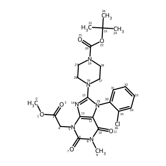 COC(=O)Cn1c(=O)n(C)c(=O)c2c1nc(N1CCN(C(=O)OC(C)(C)C)CC1)n2-c1ccccc1Cl